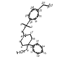 CC(C)(CN1CCC(CO)(c2ccccc2)CC1)c1ccc(CI)cc1